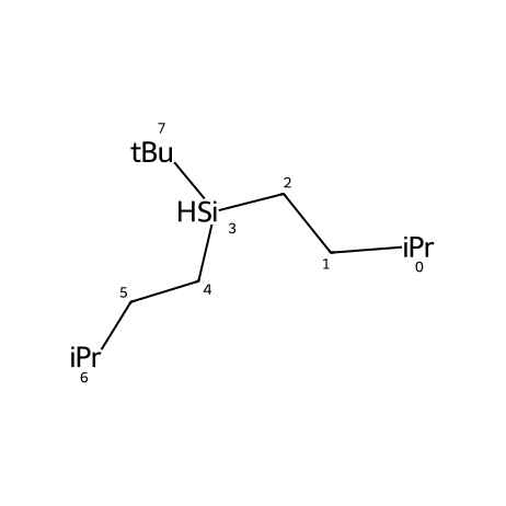 CC(C)CC[SiH](CCC(C)C)C(C)(C)C